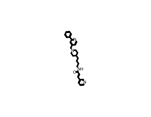 O=C(C=Cc1cccnc1)NCCCCC1CCN(Cc2ccnc(-c3ccccc3)c2)CC1